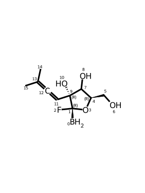 B[C@]1(F)O[C@H](CO)C(O)[C@]1(O)C=C=C(C)C